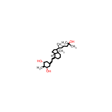 C=C1[C@H](O)CC(=C/C=C2\CCC[C@]3(C)C([C@@H](C)CCCC(C)(C)O)CC[C@@H]23)C[C@H]1O